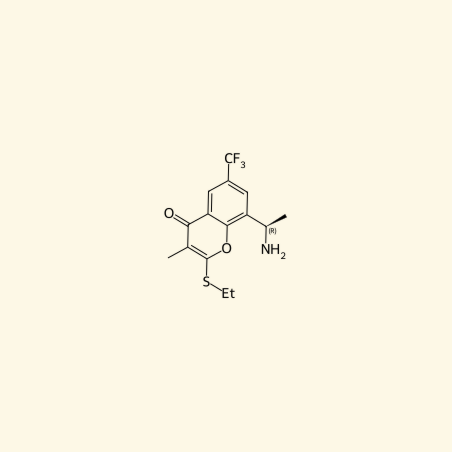 CCSc1oc2c([C@@H](C)N)cc(C(F)(F)F)cc2c(=O)c1C